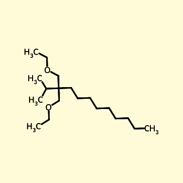 CCCCCCCCCC(COCC)(COCC)C(C)C